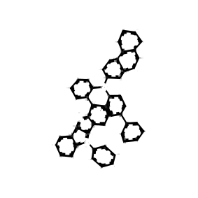 c1ccc(-c2ccc(N(c3ccc4c(ccc5ccccc54)c3)c3ccccc3-c3cccc4c3oc3c5ccccc5n(-c5ccccc5)c43)cc2)cc1